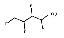 O=C(O)C(F)C(F)C(F)CF